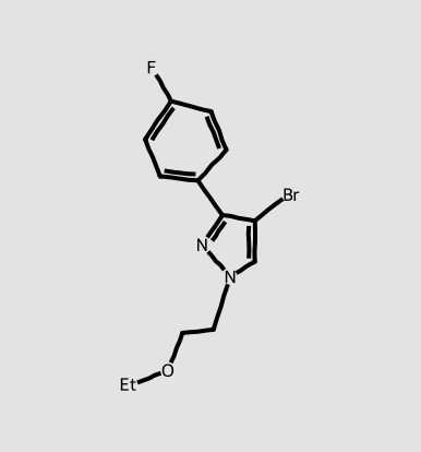 CCOCCn1cc(Br)c(-c2ccc(F)cc2)n1